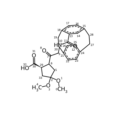 COC1(OC)CC(C(=O)CNC(=O)c2cc3ccc2CCc2ccc(cc2)CC3)[C@H](C(=O)O)C1